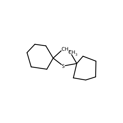 CC1(SC2(C)CCCCC2)CCCCC1